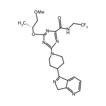 COC[C@@H](C)Oc1nc(C(=O)NCC(F)(F)F)nc(N2CCC(C3=NCc4ncccc43)CC2)n1